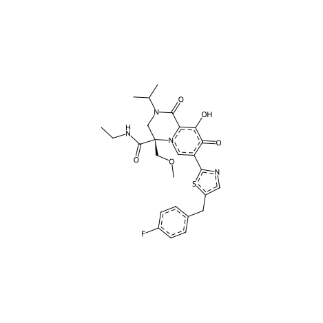 CCNC(=O)[C@]1(COC)CN(C(C)C)C(=O)c2c(O)c(=O)c(-c3ncc(Cc4ccc(F)cc4)s3)cn21